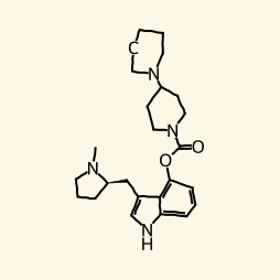 CN1CCC[C@@H]1Cc1c[nH]c2cccc(OC(=O)N3CCC(N4CCCCC4)CC3)c12